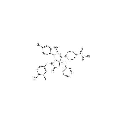 CCNC(=O)N1CCN(C(=O)[C@@]2(Sc3ccccc3)CC(=O)N(Cc3ccc(Cl)c(F)c3)[C@@H]2c2c[nH]c3cc(Cl)ccc23)CC1